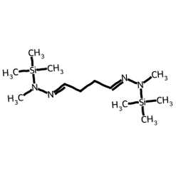 CN(N=CCCC=NN(C)[Si](C)(C)C)[Si](C)(C)C